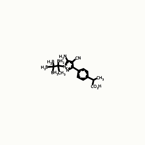 BC(B)(B)C(B)(C)n1nc(-c2ccc(C(C)C(=O)O)cc2)c(C#N)c1N